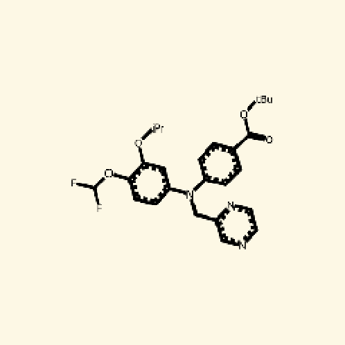 CC(C)Oc1cc(N(Cc2cnccn2)c2ccc(C(=O)OC(C)(C)C)cc2)ccc1OC(F)F